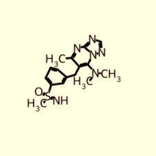 Cc1nc2ncnn2c(N(C)C)c1Cc1cccc(S(C)(=N)=O)c1